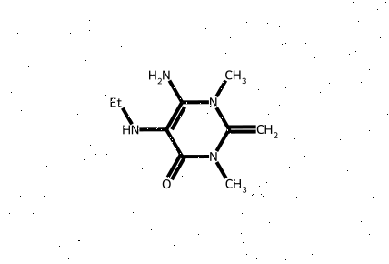 C=C1N(C)C(=O)C(NCC)=C(N)N1C